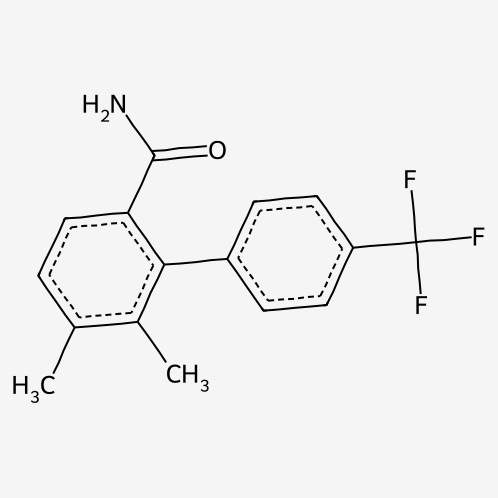 Cc1ccc(C(N)=O)c(-c2ccc(C(F)(F)F)cc2)c1C